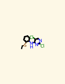 CCSc1ccccc1Nc1nc(Cl)ncc1Cl